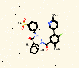 COc1ccc(-c2cc(C(=O)N[C@@H]3[C@H]4CC[C@H](C4)[C@@H]3C(=O)Nc3cccc(S(=O)(=O)C(F)(F)F)c3)c(OC)cc2F)cn1